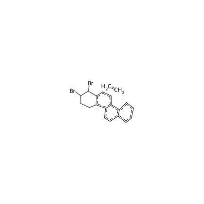 BrC1CCc2c(ccc3c2ccc2ccccc23)C1Br.C=C